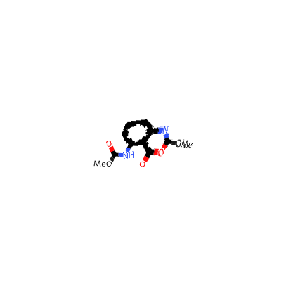 COC(=O)Nc1cccc2nc(OC)oc(=O)c12